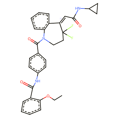 CCOc1ccccc1C(=O)Nc1ccc(C(=O)N2CCC(F)(F)/C(=C\C(=O)NC3CC3)c3ccccc32)cc1